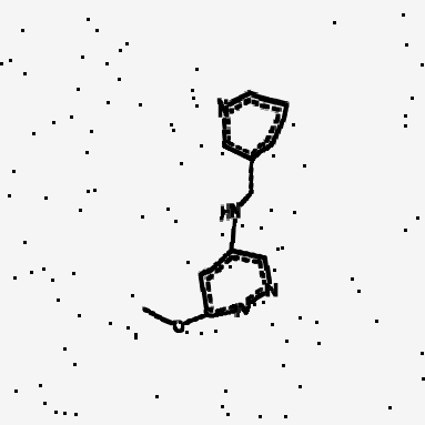 COc1cc(NCc2cccnc2)cnn1